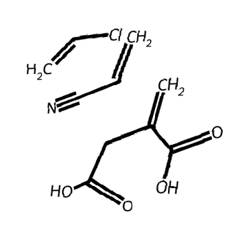 C=C(CC(=O)O)C(=O)O.C=CC#N.C=CCl